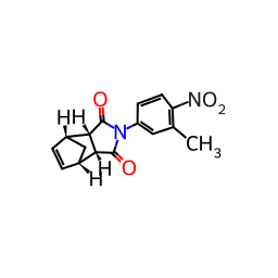 Cc1cc(N2C(=O)[C@@H]3[C@H](C2=O)[C@@H]2C=C[C@H]3C2)ccc1[N+](=O)[O-]